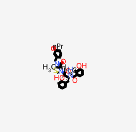 CCCOc1cccc(CN2C(=O)[C@H]3N(C(=O)[C@@H](O)[C@H](Cc4ccccc4)NC(=O)c4cccc(O)c4C)CSC32C)c1